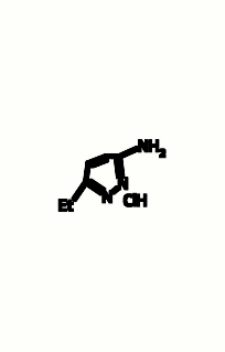 CCc1ccc(N)nn1.Cl